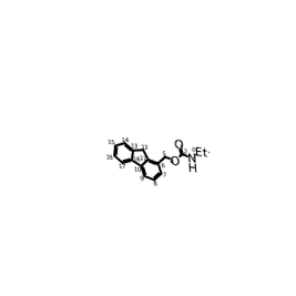 C[CH]NC(=O)OCc1cccc2c1Cc1ccccc1-2